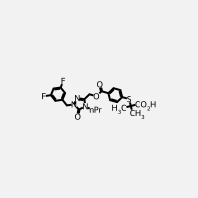 CCCn1c(COC(=O)c2ccc(SC(C)(C)C(=O)O)cc2)nn(Cc2cc(F)cc(F)c2)c1=O